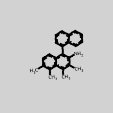 Cc1ccc2c(-c3cccc4ccccc34)c(N)c(C)c(C)c2c1C